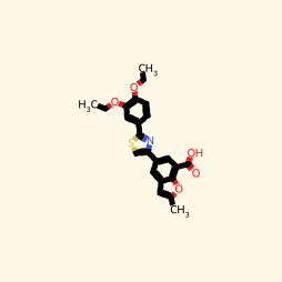 CCOc1ccc(-c2nc(-c3cc(C(=O)O)c4oc(C)cc4c3)cs2)cc1OCC